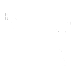 CC1CN(C(=O)OC(C)(C)C)CCC1C(=O)NC(CCCCCCCc1ccc2c(n1)NCCC2)C(=O)O